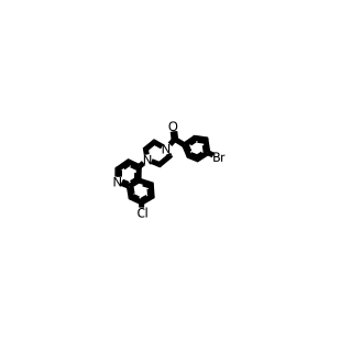 O=C(c1ccc(Br)cc1)N1CCN(c2ccnc3cc(Cl)ccc23)CC1